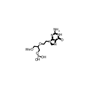 COCC(CO[PH](=O)O)OCCn1cnc2c(=O)[nH]c(N)nc21